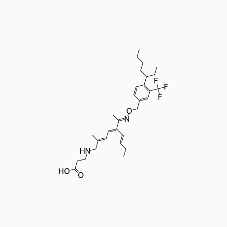 CC/C=C/C(=C\C=C(/C)CNCCC(=O)O)C(/C)=N/OCc1ccc(C(CC)CCCC)c(C(F)(F)F)c1